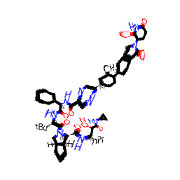 CCC[C@H](NC(=O)[C@@H]1[C@H]2CCC[C@H]2CN1C(=O)[C@@H](NC(=O)[C@@H](NC(=O)c1cnc([C@H]2CCC(c3ccc4c(c3)CN(C3CCC(=O)NC3=O)C4=O)C(C)C2)cn1)C1CCCCC1)C(C)(C)C)C(O)C(=O)NC1CC1